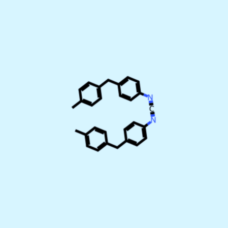 Cc1ccc(Cc2ccc(N=C=Nc3ccc(Cc4ccc(C)cc4)cc3)cc2)cc1